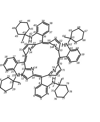 CC1(Nc2ccccc2C2=C3C=CC(=N3)C(c3ccccc3NC3(C)CCCCC3)=C3C=CC(=N3)C(c3ccccc3NC3(C)CCCCC3)=C3C=CC(=N3)C(c3ccccc3NC3(C)CCCCC3)=C3C=CC2=N3)CCCCC1